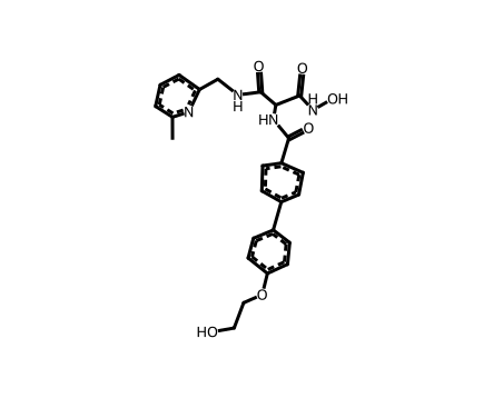 Cc1cccc(CNC(=O)C(NC(=O)c2ccc(-c3ccc(OCCO)cc3)cc2)C(=O)NO)n1